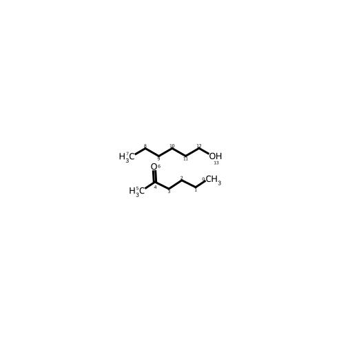 CCCCC(C)=O.CCCCCCO